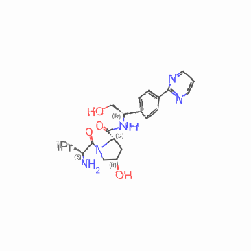 CC(C)[C@H](N)C(=O)N1C[C@H](O)C[C@H]1C(=O)N[C@@H](CO)c1ccc(-c2ncccn2)cc1